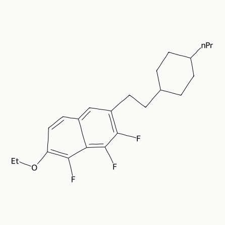 CCCC1CCC(CCc2cc3ccc(OCC)c(F)c3c(F)c2F)CC1